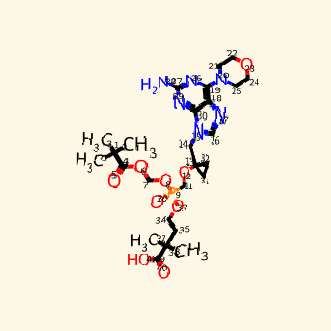 CC(C)(C)C(=O)OCOP(=O)(COC1(Cn2cnc3c(N4CCOCC4)nc(N)nc32)CC1)OCCC(C)(C)C(=O)O